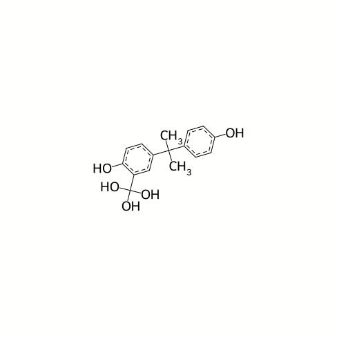 CC(C)(c1ccc(O)cc1)c1ccc(O)c(C(O)(O)O)c1